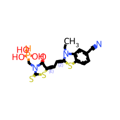 CCN1/C(=C/C=C2/SC(=S)N(C[PH](O)(O)O)C2=O)Sc2ccc(C#N)cc21